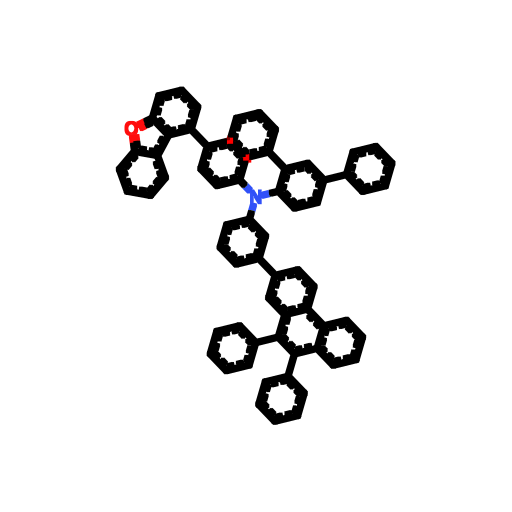 c1ccc(-c2ccc(N(c3ccc(-c4cccc5oc6ccccc6c45)cc3)c3cccc(-c4ccc5c(c4)c(-c4ccccc4)c(-c4ccccc4)c4ccccc45)c3)c(-c3ccccc3)c2)cc1